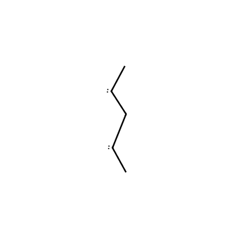 C[C]C[C]C